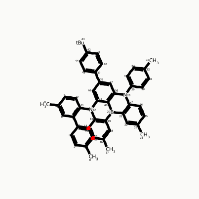 Cc1ccc(-c2cc(C)ccc2N2c3ccc(C)cc3B3c4cc(C)ccc4N(c4ccc(C)cc4)c4cc(-c5ccc(C(C)(C)C)cc5)cc2c43)cc1